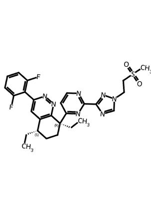 CC[C@H]1CC[C@](CC)(c2ccnc(-c3ncn(CCS(C)(=O)=O)n3)n2)c2nnc(-c3c(F)cccc3F)cc21